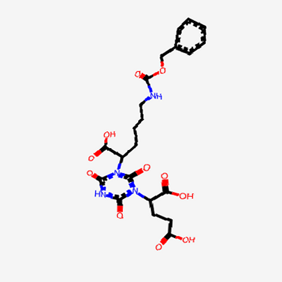 O=C(O)CCC(C(=O)O)n1c(=O)[nH]c(=O)n(C(CCCCNC(=O)OCc2ccccc2)C(=O)O)c1=O